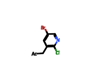 CC(=O)Cc1cc(Br)cnc1Cl